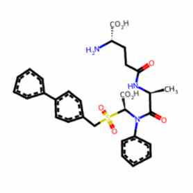 C[C@H](NC(=O)CC[C@H](N)C(=O)O)C(=O)N(c1ccccc1)[C@H](C(=O)O)S(=O)(=O)Cc1ccc(-c2ccccc2)cc1